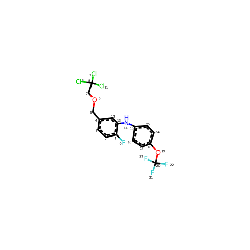 Fc1ccc(COCC(Cl)(Cl)Cl)cc1Nc1ccc(OC(F)(F)F)cc1